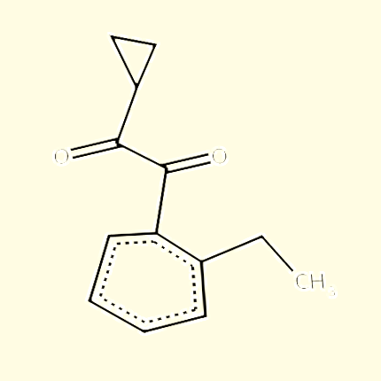 CCc1ccccc1C(=O)C(=O)C1CC1